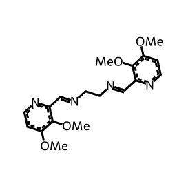 COc1ccnc(C=NCCN=Cc2nccc(OC)c2OC)c1OC